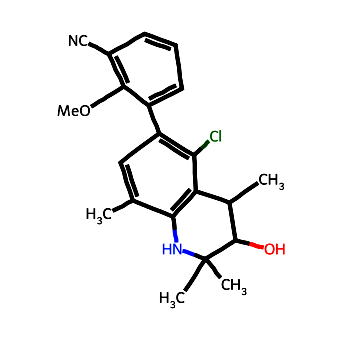 COc1c(C#N)cccc1-c1cc(C)c2c(c1Cl)C(C)C(O)C(C)(C)N2